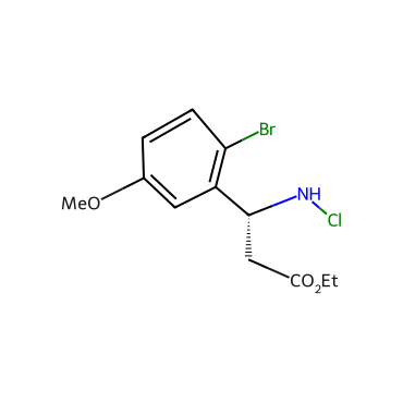 CCOC(=O)C[C@@H](NCl)c1cc(OC)ccc1Br